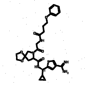 N=C(N)c1csc([C@H](NC(=O)C2CC3(CN2C(=O)CNC(=O)CCCOc2ccccc2)OCCO3)C2CC2)c1